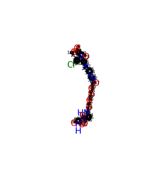 COc1cc2c(cc1OC(C)C)[C@H](c1ccc(Cl)cc1)N(c1ccc(N(C)C[C@H]3CC[C@H](N4CCN(C(=O)CCOCCOCCOCCOCCNc5cccc6c5C(=O)N(C5CCC(=O)NC5=O)C6=O)CC4)CC3)cc1)C(=O)C2